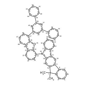 CC1(C)c2ccccc2-c2cc3c4ccccc4n(-c4cccc5c4oc4c(-c6cc(-c7ccccc7)nc(-c7ccccc7)n6)cccc45)c3cc21